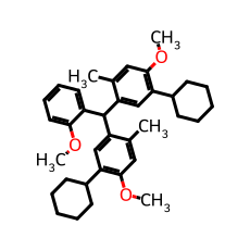 COc1cc(C)c(C(c2cc(C3CCCCC3)c(OC)cc2C)c2ccccc2OC)cc1C1CCCCC1